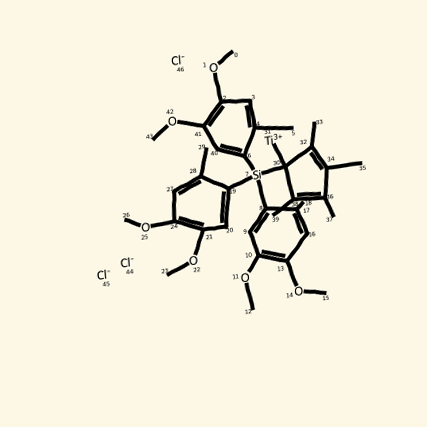 COc1cc(C)c([Si](c2cc(OC)c(OC)cc2C)(c2cc(OC)c(OC)cc2C)[C]2([Ti+3])C(C)=C(C)C(C)=C2C)cc1OC.[Cl-].[Cl-].[Cl-]